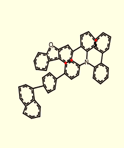 c1ccc(-c2ccccc2N(c2ccc(-c3ccc(-c4cccc5ccccc45)cc3)cc2)c2ccccc2-c2ccc3c(c2)oc2ccccc23)cc1